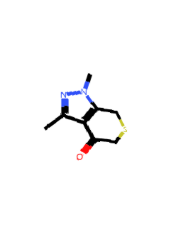 Cc1nn(C)c2c1C(=O)CSC2